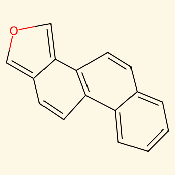 c1ccc2c(c1)ccc1c3cocc3ccc21